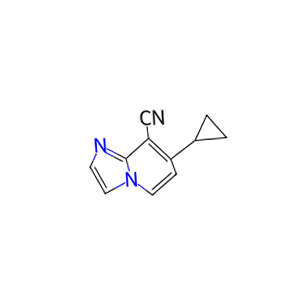 N#Cc1c(C2CC2)ccn2ccnc12